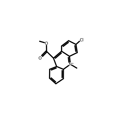 COC(=O)c1c2ccccc2[n+](C)c2cc(Cl)ccc12